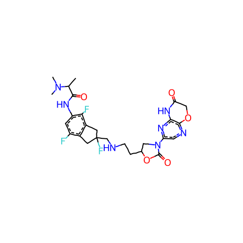 CC(C(=O)Nc1cc(F)c2c(c1F)CC(F)(CNCCC1CN(c3cnc4c(n3)NC(=O)CO4)C(=O)O1)C2)N(C)C